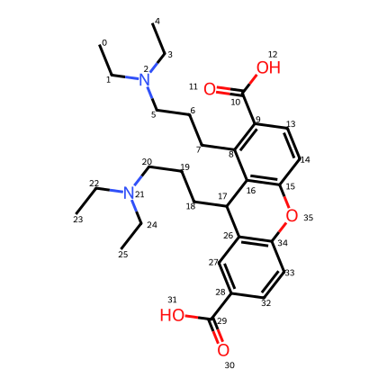 CCN(CC)CCCc1c(C(=O)O)ccc2c1C(CCCN(CC)CC)c1cc(C(=O)O)ccc1O2